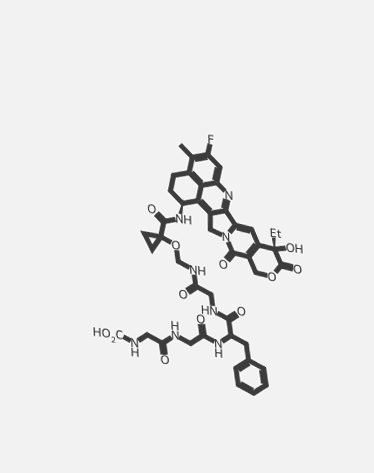 CC[C@@]1(O)C(=O)OCc2c1cc1n(c2=O)Cc2c-1nc1cc(F)c(C)c3c1c2[C@@H](NC(=O)C1(OCNC(=O)CNC(=O)C(Cc2ccccc2)NC(=O)CNC(=O)CNC(=O)O)CC1)CC3